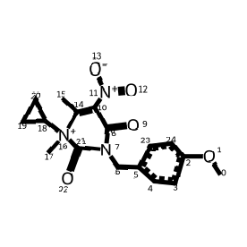 COc1ccc(CN2C(=O)C([N+](=O)[O-])=C(C)[N+](C)(C3CC3)C2=O)cc1